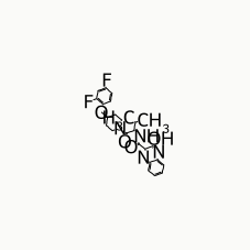 CC(C)[C@H](NC(=O)c1nc2ccccc2nc1O)C(=O)N1CCC(Oc2ccc(F)cc2F)CC1